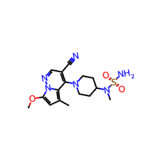 COc1cc(C)c2c(N3CCC(N(C)S(N)(=O)=O)CC3)c(C#N)cnn12